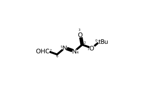 CC(C)(C)OC(=O)N=NCC=O